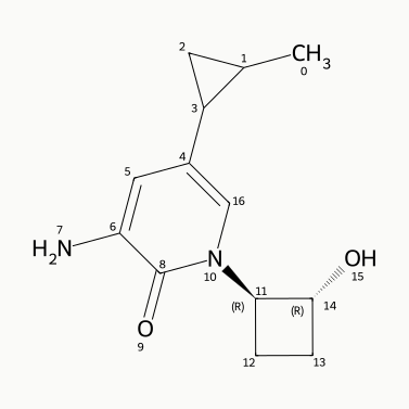 CC1CC1c1cc(N)c(=O)n([C@@H]2CC[C@H]2O)c1